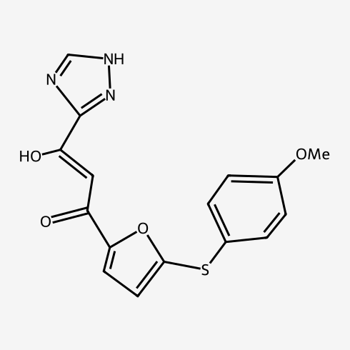 COc1ccc(Sc2ccc(C(=O)C=C(O)c3nc[nH]n3)o2)cc1